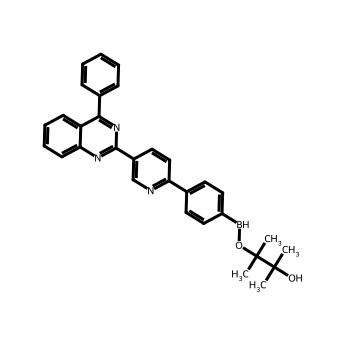 CC(C)(O)C(C)(C)OBc1ccc(-c2ccc(-c3nc(-c4ccccc4)c4ccccc4n3)cn2)cc1